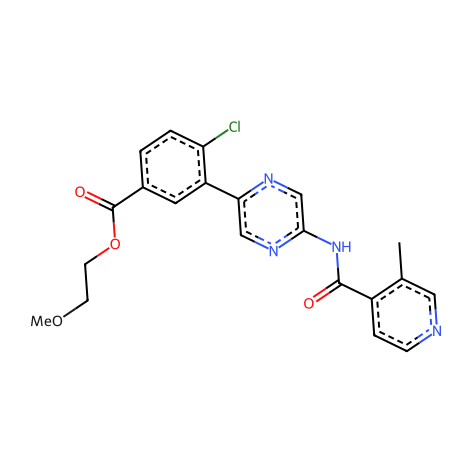 COCCOC(=O)c1ccc(Cl)c(-c2cnc(NC(=O)c3ccncc3C)cn2)c1